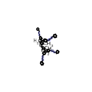 Cc1cc(Oc2cc(C)c(N(c3ccc(/C=C/C=C/c4ccccc4)cc3)c3ccc(/C=C/C=C/c4ccccc4)cc3)c(C)c2)cc(C)c1N(c1ccc(/C=C/C=C/c2ccccc2)cc1)c1ccc(/C=C/C=C/c2ccccc2)cc1